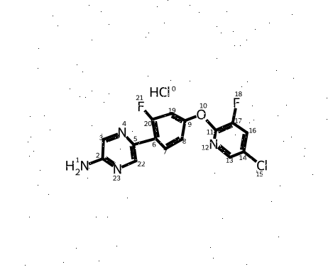 Cl.Nc1[c]nc(-c2ccc(Oc3ncc(Cl)cc3F)cc2F)cn1